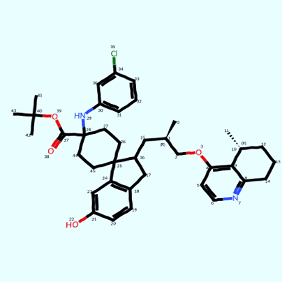 C[C@@H](COc1ccnc2c1[C@H](C)CCC2)CC1Cc2ccc(O)cc2C12CCC(Nc1cccc(Cl)c1)(C(=O)OC(C)(C)C)CC2